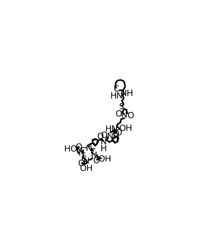 N=C(CCCSC1CC(=O)N(CCCCC(NC(=O)CNC(=O)C(Cc2ccccc2)NC(=O)c2ccc(CN3CCN(CC(=O)O)CCN(CC(=O)O)CCN(CC(=O)O)CC3)cc2)C(=O)O)C1=O)NC1CCCCCCCCC1